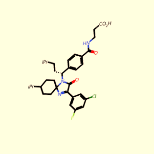 CC(C)CC[C@H](c1ccc(C(=O)NCCC(=O)O)cc1)N1C(=O)C(c2cc(F)cc(Cl)c2)=NC12CCC(C(C)C)CC2